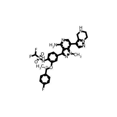 C[C@H](Oc1cc(-c2nn(C)c3c(-c4cnn5c4CNCC5)cnc(N)c23)ccc1NS(=O)(=O)C(F)F)c1ccc(F)cc1